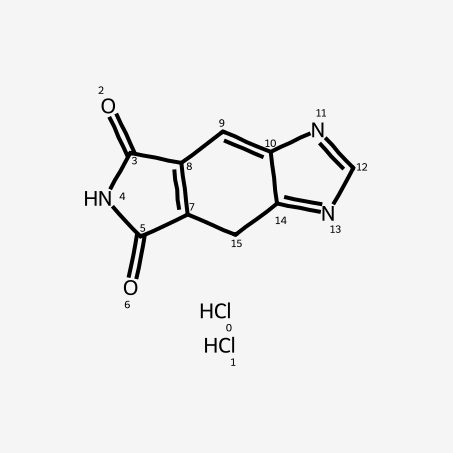 Cl.Cl.O=C1NC(=O)C2=C1C=C1N=CN=C1C2